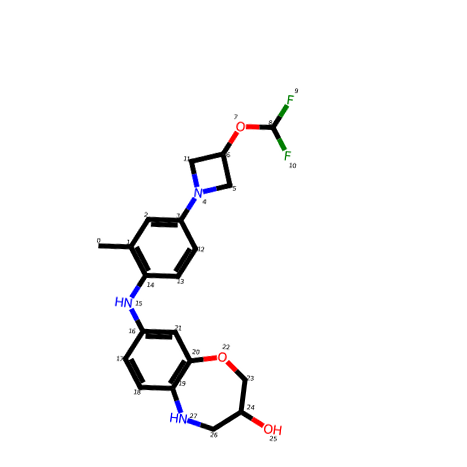 Cc1cc(N2CC(OC(F)F)C2)ccc1Nc1ccc2c(c1)OCC(O)CN2